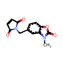 Cn1c(=O)oc2ccc(CN3C(=O)C=CC3=O)cc21